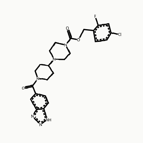 O=C(OCc1ccc(Cl)cc1F)N1CCN(C2CCN(C(=O)c3ccc4[nH]nnc4c3)CC2)CC1